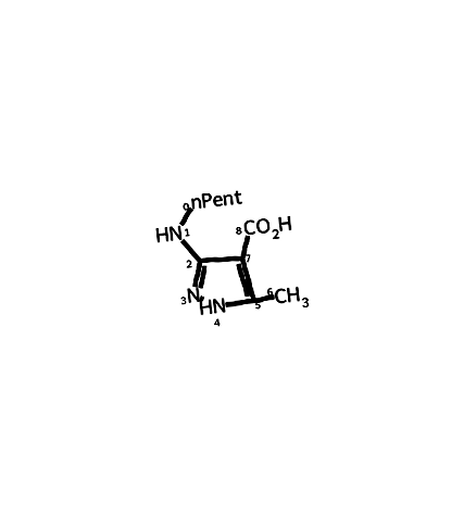 CCCCCNc1n[nH]c(C)c1C(=O)O